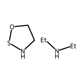 C1COSN1.CCNCC